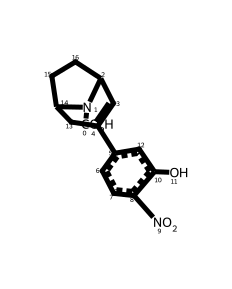 O=C(O)N1C2C=C(c3ccc([N+](=O)[O-])c(O)c3)CC1CC2